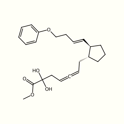 COC(=O)C(O)(O)CC=C=CC[C@H]1CCC[C@@H]1/C=C/CCOc1ccccc1